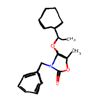 CC(OC1C(C)OC(=O)N1Cc1ccccc1)C1CCCCC1